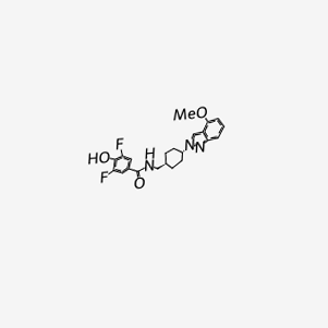 COc1cccc2nn([C@H]3CC[C@H](CNC(=O)c4cc(F)c(O)c(F)c4)CC3)cc12